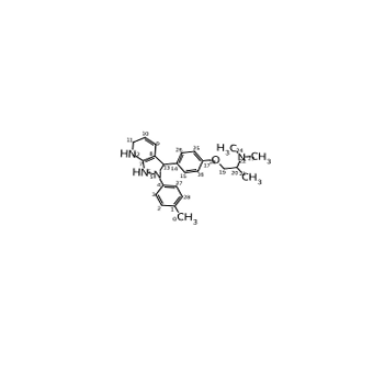 Cc1ccc(N2NC3=C(C=CCN3)C2c2ccc(OCC(C)N(C)C)cc2)cc1